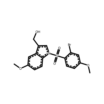 COc1ccc(S(=O)(=O)n2cc(CO)c3cc(OC)ccc32)c(Br)c1